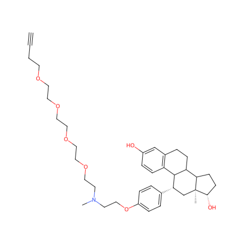 C#CCCOCCOCCOCCOCCN(C)CCOc1ccc([C@H]2C[C@@]3(C)C(CC[C@@H]3O)C3CCc4cc(O)ccc4C32)cc1